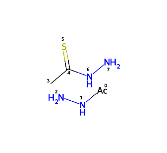 CC(=O)NN.CC(=S)NN